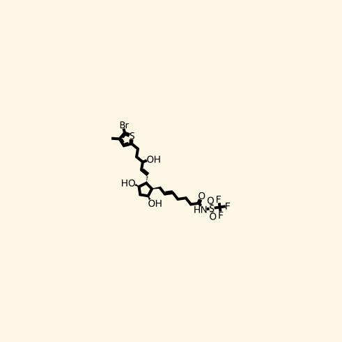 Cc1cc(CCC(O)C=C[C@@H]2[C@@H](CC=CCCCC(=O)NS(=O)(=O)C(F)(F)F)[C@@H](O)C[C@H]2O)sc1Br